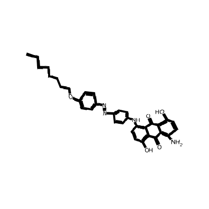 CCCCCCCCOc1ccc(N=Nc2ccc(Nc3ccc(O)c4c3C(=O)c3c(O)ccc(N)c3C4=O)cc2)cc1